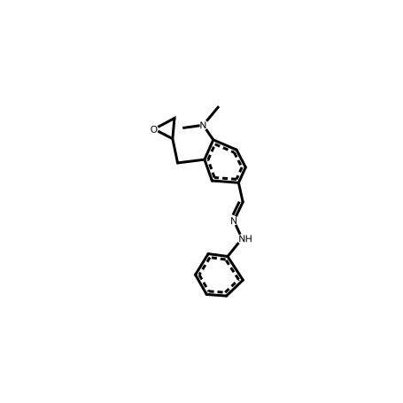 CN(C)c1ccc(C=NNc2ccccc2)cc1CC1CO1